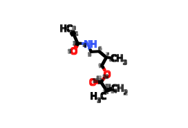 C#CC(=O)NCCC(C)COC(=O)C(=C)C